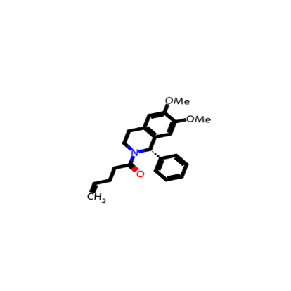 C=CCCC(=O)N1CCc2cc(OC)c(OC)cc2[C@@H]1c1ccccc1